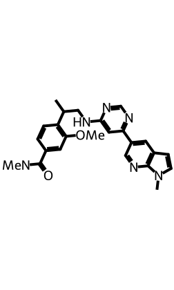 CNC(=O)c1ccc(C(C)CNc2cc(-c3cnc4c(ccn4C)c3)ncn2)c(OC)c1